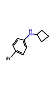 CC(C)c1ccc(NC2CCC2)cc1